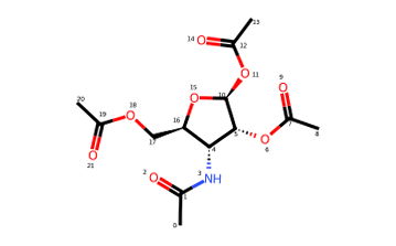 CC(=O)N[C@H]1[C@@H](OC(C)=O)[C@H](OC(C)=O)O[C@@H]1COC(C)=O